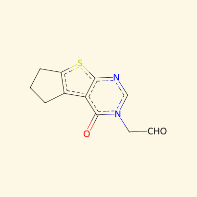 O=CCn1cnc2sc3c(c2c1=O)CCC3